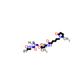 C=C1C=CC(=O)N1CCCCCC(=O)NCCC(C)(C)OCN(C)C(=O)NCC(=O)C(C)C